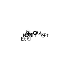 CCOCCOc1ccc(C(CC)Nc2ncnc(CC)c2Cl)cc1